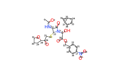 CC(=O)NC1C(=O)N(C(O)C(=O)OCc2ccc([N+](=O)[O-])cc2)C1SCC(=O)C1CCCO1.c1cc2cc-2c1